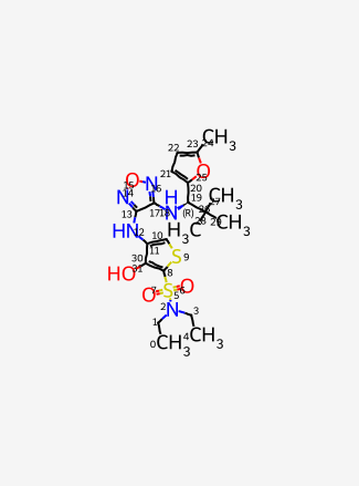 CCN(CC)S(=O)(=O)c1scc(Nc2nonc2N[C@@H](c2ccc(C)o2)C(C)(C)C)c1O